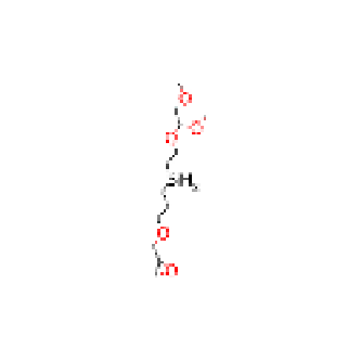 COCC(OC)OCC[SiH2]CCCOCC1CO1